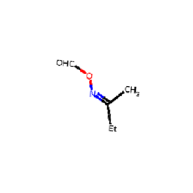 CCC(C)=NOC=O